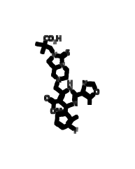 COC(=O)C1=C(CN2CCN3C(=S)N(CC(C)(C)C(=O)O)CC3C2)NC(c2ncoc2C)=NC1c1cccc(F)c1C